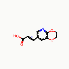 O=C(O)/C=C/c1cnc2c(c1)OCCO2